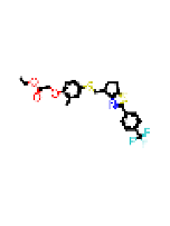 CCOC(=O)COc1ccc(SCC2CCc3sc(-c4ccc(C(F)(F)F)cc4)nc32)cc1C